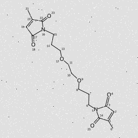 CC1=CC(=O)N(CCCOCCOCCCN2C(=O)C=C(C)C2=O)C1=O